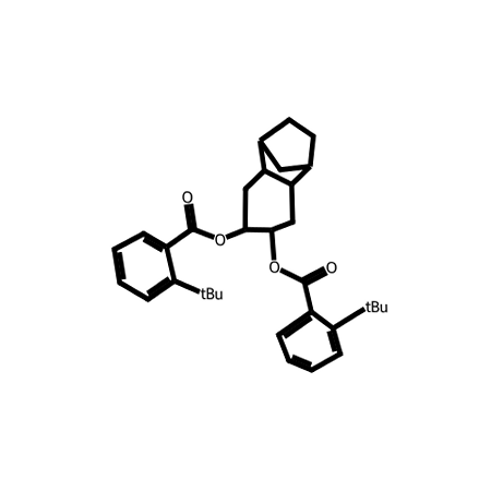 CC(C)(C)c1ccccc1C(=O)OC1CC2C3CCC(C3)C2CC1OC(=O)c1ccccc1C(C)(C)C